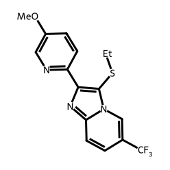 CCSc1c(-c2ccc(OC)cn2)nc2ccc(C(F)(F)F)cn12